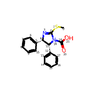 CSC1=N[C@@H](c2ccccc2)[C@@H](c2ccccc2)N1C(=O)O